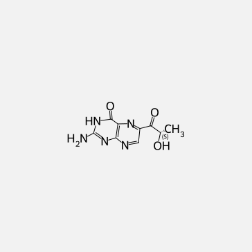 C[C@H](O)C(=O)c1cnc2nc(N)[nH]c(=O)c2n1